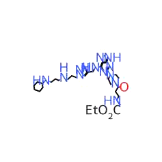 CCOC(=O)CNCCC(=O)N1CCN(c2nc(NCc3cn(CCCNCCCNC4CCCCC4)nn3)c3nc[nH]c3n2)CC1